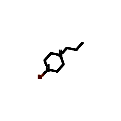 CCC[SiH]1CC[SiH](Br)CC1